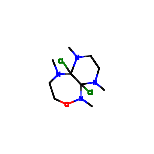 CN1CCON(C)C2(Cl)N(C)CCN(C)C12Cl